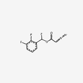 [N-]=[N+]=CC(=O)OC(F)c1cccc(F)c1F